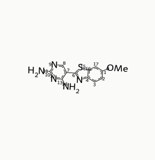 COc1ccc2nc(-c3cnc(N)nc3N)sc2c1